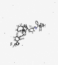 O=C(/C=C/c1cccc(-c2nc3ccccc3n2Cc2cccc(OC(F)(F)F)c2)c1)NO